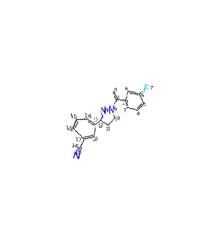 C=C(c1cccc(F)c1)N1CCC(c2cccc(C#N)c2)=N1